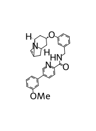 COc1cccc(-c2ccc(C(=O)NCc3cccc(O[C@H]4C[C@H]5CC6=CN5[C@@H]6C4)c3)nc2)c1